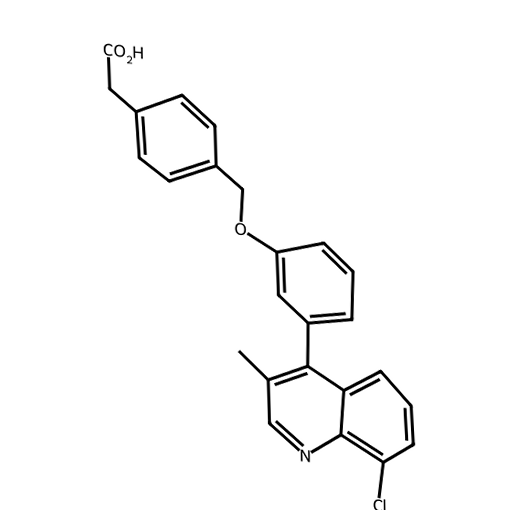 Cc1cnc2c(Cl)cccc2c1-c1cccc(OCc2ccc(CC(=O)O)cc2)c1